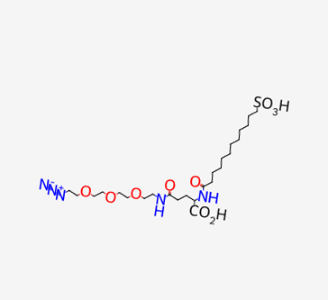 [N-]=[N+]=NCCOCCOCCOCCNC(=O)CCC(NC(=O)CCCCCCCCCCCS(=O)(=O)O)C(=O)O